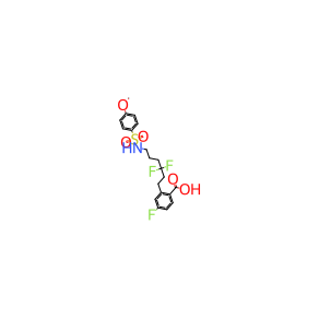 COc1ccc(S(=O)(=O)NCCCC(F)(F)CCc2cc(F)ccc2C(=O)O)cc1